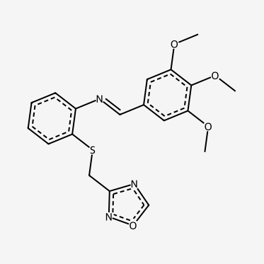 COc1cc(/C=N/c2ccccc2SCc2ncon2)cc(OC)c1OC